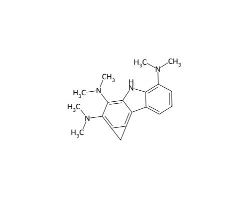 CN(C)c1c2c(c3c([nH]c4c(N(C)C)cccc43)c1N(C)C)C2